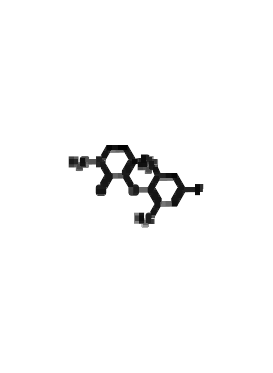 Cc1cc(F)cc(C)c1Oc1c(Br)ccn(C)c1=O